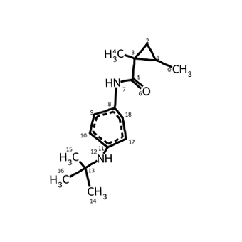 CC1CC1(C)C(=O)Nc1ccc(NC(C)(C)C)cc1